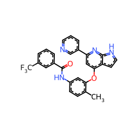 Cc1ccc(NC(=O)c2cccc(C(F)(F)F)c2)cc1Oc1cc(-c2cccnc2)nc2[nH]ccc12